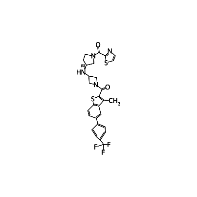 Cc1c(C(=O)N2CC(N[C@H]3CCN(C(=O)c4nccs4)C3)C2)sc2ccc(-c3ccc(C(F)(F)F)cc3)cc12